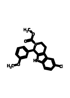 COC(=O)N1CCc2c([nH]c3ccc(Cl)cc23)C1c1cccc(OC)c1